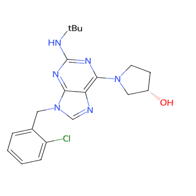 CC(C)(C)Nc1nc(N2CC[C@H](O)C2)c2ncn(Cc3ccccc3Cl)c2n1